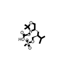 CC(C)[C@@H](COS(C)(=O)=O)C[C@H]1COC(C)(C)N1OC(=O)O